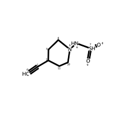 C#CC1CCN(N[SH](=O)=O)CC1